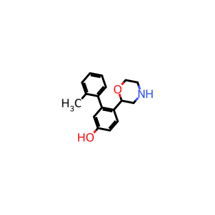 Cc1ccccc1-c1cc(O)ccc1C1CNCCO1